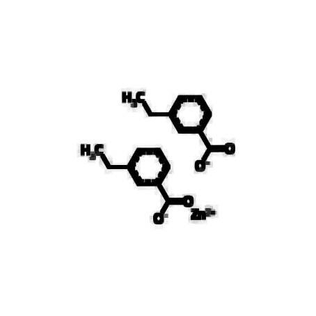 CCc1cccc(C(=O)[O-])c1.CCc1cccc(C(=O)[O-])c1.[Zn+2]